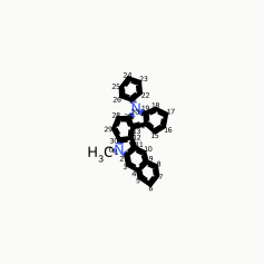 Cn1c2cc3ccccc3cc2c2c3c4ccccc4n(-c4ccccc4)c3ccc21